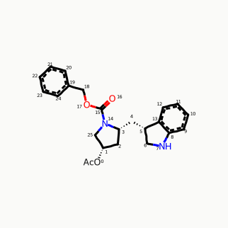 CC(=O)O[C@H]1C[C@@H](C[C@H]2CNc3ccccc32)N(C(=O)OCc2ccccc2)C1